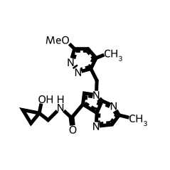 COc1cc(C)c(Cn2cc(C(=O)NCC3(O)CC3)c3ncc(C)nc32)nn1